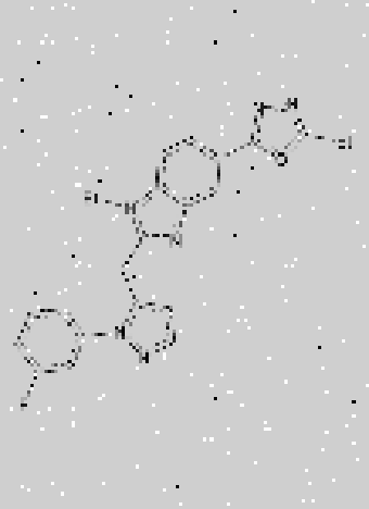 CCc1nnc(-c2ccc3c(c2)nc(Cc2ccnn2-c2cccc(F)c2)n3CC)o1